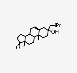 CC(C)CC1(O)CCC2(C)C(=CCC3C4CCC(=O)C4(C)CCC32)C1